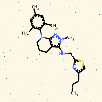 CCCc1csc(CNc2c3c(nn2C)N(c2c(C)cc(C)cc2C)CCC3)n1